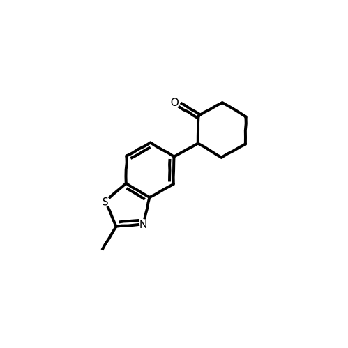 Cc1nc2cc(C3CCCCC3=O)ccc2s1